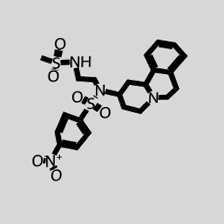 CS(=O)(=O)NCCN(C1CCN2CCc3ccccc3C2C1)S(=O)(=O)c1ccc([N+](=O)[O-])cc1